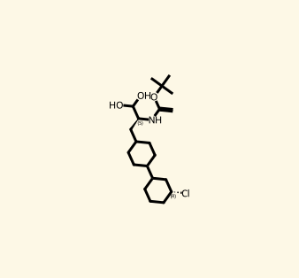 C=C(N[C@@H](CC1CCC(C2CCC[C@@H](Cl)C2)CC1)C(O)O)OC(C)(C)C